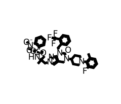 Cc1cccc(F)c1N1CCC(N2Cc3cn(CC(C)(C)NS(=O)(=O)c4ccccc4[N+](=O)[O-])nc3N(Cc3ccccc3C(F)(F)F)C2=O)CC1